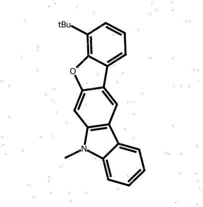 Cn1c2ccccc2c2cc3c(cc21)oc1c(C(C)(C)C)cccc13